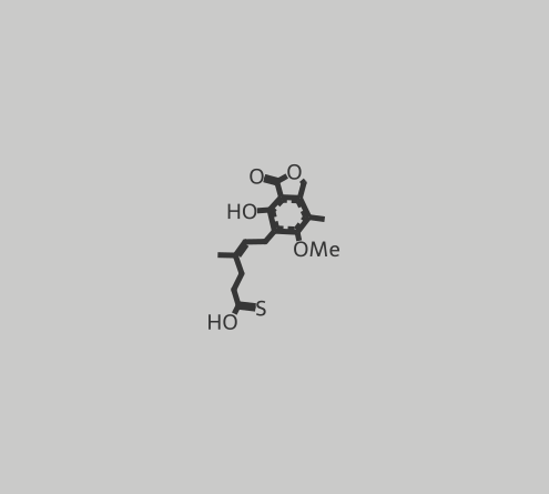 COc1c(C)c2c(c(O)c1CC=C(C)CCC(O)=S)C(=O)OC2